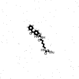 CC(C)(C)OC(=O)NCCCCCC(=O)Nc1nc2ccc(C(=O)c3ccccc3)cc2[nH]1